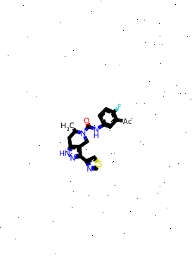 CC(=O)c1cc(NC(=O)N2Cc3c(-c4cscn4)n[nH]c3CC2C)ccc1F